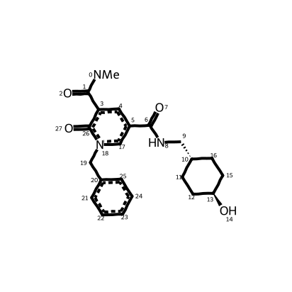 CNC(=O)c1cc(C(=O)NC[C@H]2CC[C@H](O)CC2)cn(Cc2ccccc2)c1=O